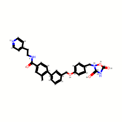 Cc1cc(C(=O)NCCc2ccncc2)ccc1-c1cccc(COc2ccc(Cn3oc(=O)[nH]c3=O)cc2)c1